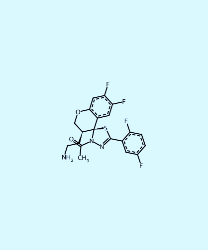 CC(=O)N1N=C(c2cc(F)ccc2F)S[C@@]12c1cc(F)c(F)cc1OC[C@@H]2CCN